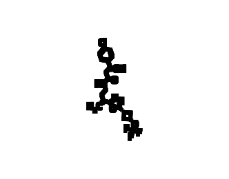 C=C(CCNC(=O)C[C@H](O)c1ccc(Cl)cc1)c1nnc([C@H]2C[C@@H](OC(F)(F)F)C2)o1